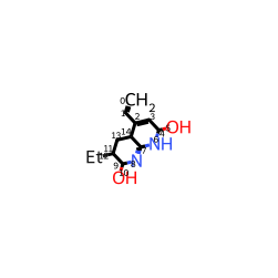 C=CC1=CC(O)NC2=NC(O)C(CC)CC12